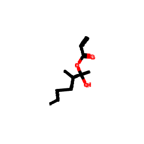 C=CC(=O)OC(C)(O)C(C)CCCC